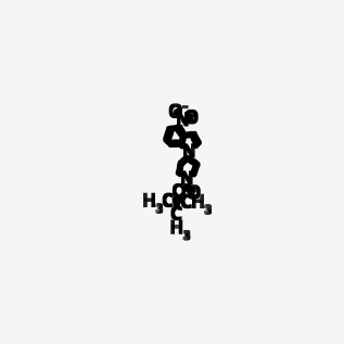 CC(C)(C)OC(=O)N1CCC(n2ccc3c([N+](=O)[O-])cccc32)CC1